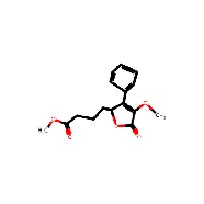 COC(=O)CCCC1OC(=O)C(OC)=C1c1ccccc1